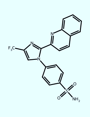 NS(=O)(=O)c1ccc(-n2cc(C(F)(F)F)nc2-c2ccc3ccccc3n2)cc1